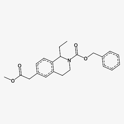 CCC1c2ccc(CC(=O)OC)cc2CCN1C(=O)OCc1ccccc1